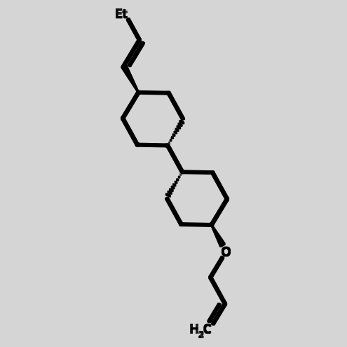 C=CCO[C@H]1CC[C@H]([C@H]2CC[C@H](C=CCC)CC2)CC1